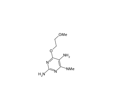 CNc1nc(N)nc(OCCOC)c1N